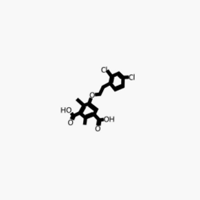 Cc1c(OCCc2ccc(Cl)cc2Cl)cc(C(=O)O)c(C)c1C(=O)O